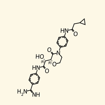 N=C(N)c1ccc(NC(=O)[C@H](O)[C@H]2OCCN(c3ccc(NC(=O)CC4CC4)cc3)C2=O)cc1